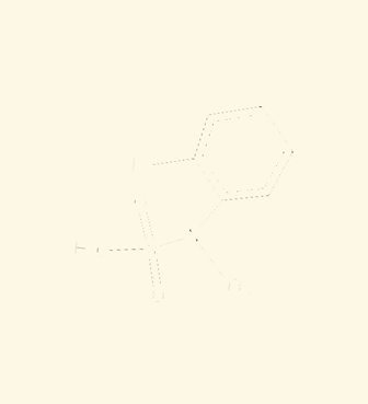 CCc1ccccc1N(C(C)CC)S(C)(=O)=O